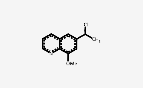 COc1cc(C(C)Cl)cc2cccnc12